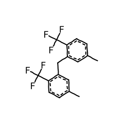 Cc1ccc(C(F)(F)F)c(Cc2cc(C)ccc2C(F)(F)F)c1